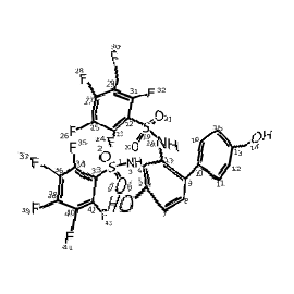 O=S(=O)(Nc1c(O)ccc(-c2ccc(O)cc2)c1NS(=O)(=O)c1c(F)c(F)c(F)c(F)c1F)c1c(F)c(F)c(F)c(F)c1F